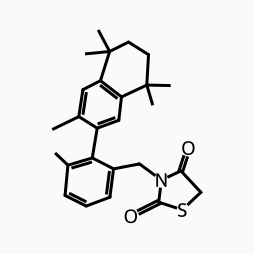 Cc1cc2c(cc1-c1c(C)cccc1CN1C(=O)CSC1=O)C(C)(C)CCC2(C)C